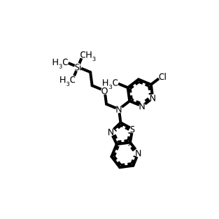 Cc1cc(Cl)nnc1N(COCC[Si](C)(C)C)c1nc2cccnc2s1